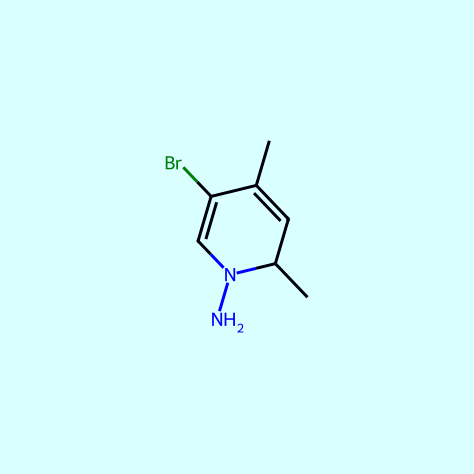 CC1=CC(C)N(N)C=C1Br